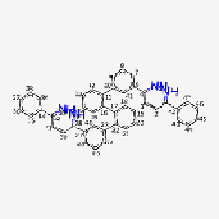 N=C(/C=C\C(=N)c1cccc(-c2ccccc2-c2ccccc2-c2cccc(C(=N)/C=C\C(=N)c3ccccc3)c2)c1)c1ccccc1